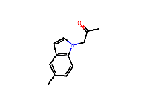 CC(=O)Cn1ccc2cc(C)ccc21